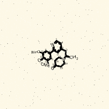 C=C(Cc1ccnc(-c2cc(OC)c(Cl)c(OC)c2)c1)N1CCC(=O)CC1